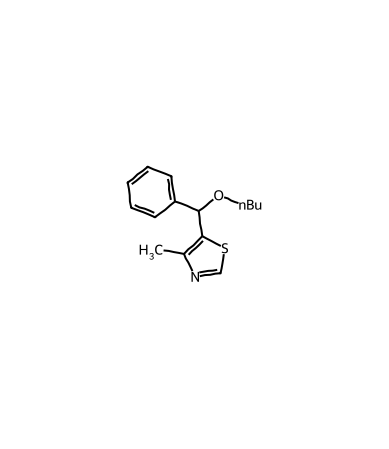 CCCCOC(c1ccccc1)c1scnc1C